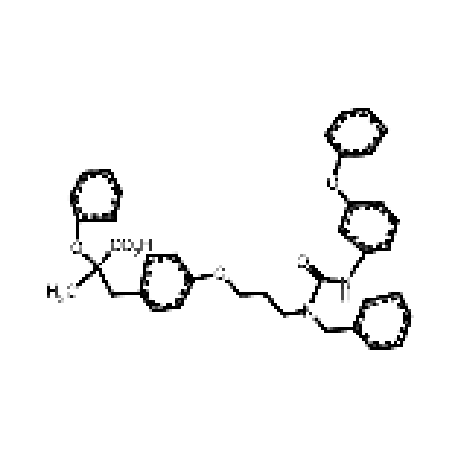 C[C@@](Cc1ccc(OCCCN(Cc2ccccc2)C(=O)Nc2cccc(Oc3ccccc3)c2)cc1)(Oc1ccccc1)C(=O)O